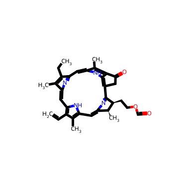 C=Cc1c(C)c2cc3nc(c4c5[nH]c(cc6nc(cc1[nH]2)C(C)=C6CC)c(C)c5C(=O)C4)[C@@H](CCOC=O)[C@@H]3C